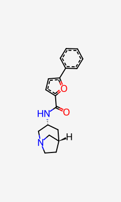 O=C(N[C@@H]1C[C@@H]2CCN(C2)C1)c1ccc(-c2ccccc2)o1